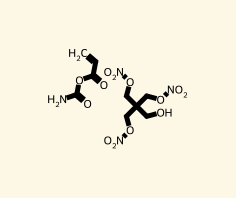 C=CC(=O)OC(N)=O.O=[N+]([O-])OCC(CO)(CO[N+](=O)[O-])CO[N+](=O)[O-]